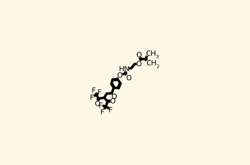 C=C(C)C(=O)OCCNC(=O)Oc1ccc(C(=O)CC(C(=O)C(F)(F)F)C(=O)C(F)(F)F)cc1